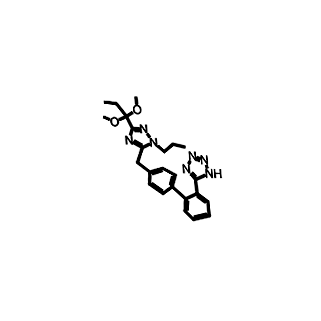 CCCn1nc(C(CC)(OC)OC)nc1Cc1ccc(-c2ccccc2-c2nnn[nH]2)cc1